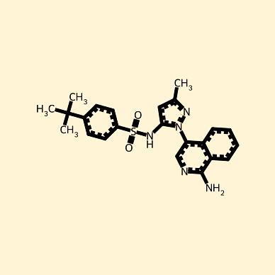 Cc1cc(NS(=O)(=O)c2ccc(C(C)(C)C)cc2)n(-c2cnc(N)c3ccccc23)n1